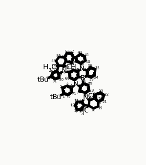 CC(C)(C)c1ccc(N2c3cc(N4c5ccccc5C5(C)CCc6ccccc6C45C)ccc3B3c4ccccc4N(c4ccccc4)c4cc(N5c6ccc(C(C)(C)C)cc6C6(C)CCc7ccccc7C56C)cc2c43)cc1